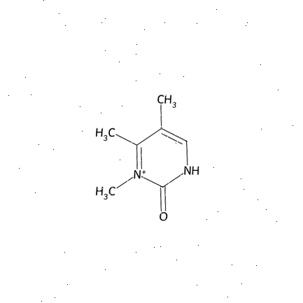 Cc1c[nH]c(=O)[n+](C)c1C